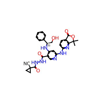 CC1(C)OC(=O)c2ccc(Nc3cc(N[C@H](CO)c4ccccc4)c(C(=O)NNC(=O)C4(C#N)CC4)cn3)nc21